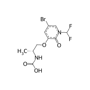 C[C@H](COc1cc(Br)cn(C(F)F)c1=O)NC(=O)O